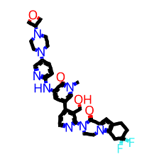 Cn1cc(-c2ccnc(N3CCn4c(cc5c4CC(F)(F)CC5)C3=O)c2CO)cc(Nc2ccc(N3CCN(C4COC4)CC3)cn2)c1=O